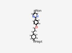 CCCCCCCCCc1cnc(-c2ccc(OCCCC3CCC(CCCCCCC)CC3)cc2)nc1